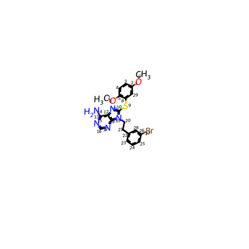 COc1ccc(OC)c(Sc2nc3c(N)ncnc3n2CCc2cccc(Br)c2)c1